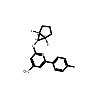 O=Cc1cc(O[C@H]2[C@@H]3CCC[C@@H]32)nc(-c2ccc(F)cc2)c1